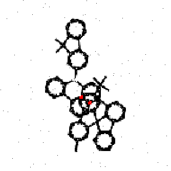 Cc1ccc2c(c1)C1(c3cc(C(C)(C)C)ccc3-2)c2ccccc2-c2cccc(-c3ccc(N(c4ccc5c(c4)C(C)(C)c4ccccc4-5)c4ccccc4-c4ccccc4)cc3)c21